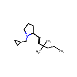 CCCC(C)(C)/C=C/C1CCCN1CC1CC1